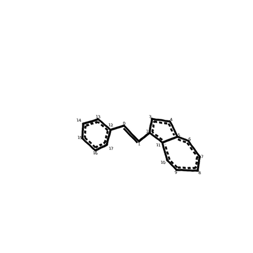 C(=Cc1ccc2cccccc1-2)c1ccccc1